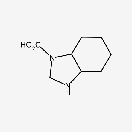 O=C(O)N1CNC2CCCCC21